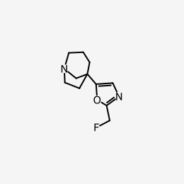 FCc1ncc(C23CCCN(CC2)C3)o1